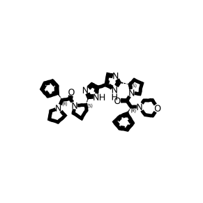 O=C([C@@H](c1ccccc1)N1CCCC1)N1CCC[C@H]1c1ncc(-c2cnc([C@@H]3CCCN3C(=O)[C@@H](c3ccccc3)N3CCOCC3)[nH]2)[nH]1